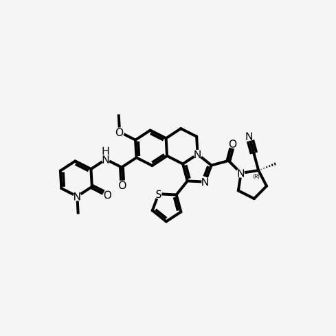 COc1cc2c(cc1C(=O)Nc1cccn(C)c1=O)-c1c(-c3cccs3)nc(C(=O)N3CCC[C@]3(C)C#N)n1CC2